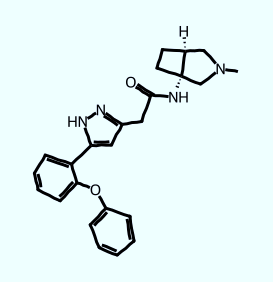 CN1C[C@@H]2CC[C@]2(NC(=O)Cc2cc(-c3ccccc3Oc3ccccc3)[nH]n2)C1